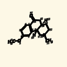 COc1ccc2c(c1)[C@H]1CN(C)CC[C@@H]1CC2=O